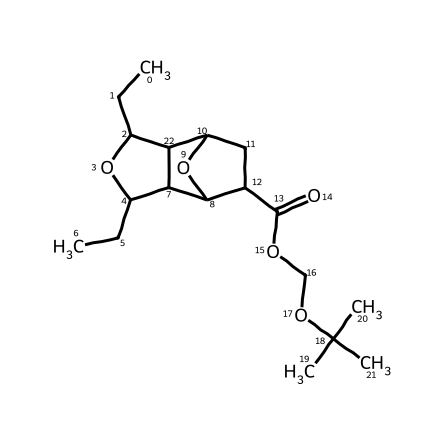 CCC1OC(CC)C2C3OC(CC3C(=O)OCOC(C)(C)C)C12